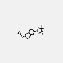 CC1(C)OB(c2ccc3cc(OC4CC4)ccc3c2)OC1(C)C